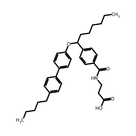 CCCCCCC(Oc1ccc(-c2ccc(CCCCC)cc2)cc1)c1ccc(C(=O)NCCC(=O)O)cc1